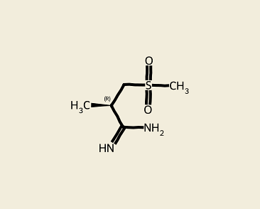 C[C@@H](CS(C)(=O)=O)C(=N)N